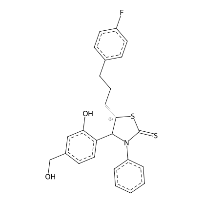 OCc1ccc(C2[C@H](CCCc3ccc(F)cc3)SC(=S)N2c2ccccc2)c(O)c1